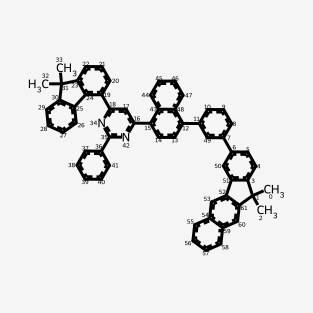 CC1(C)c2ccc(-c3cccc(-c4ccc(-c5cc(-c6cccc7c6-c6ccccc6C7(C)C)nc(-c6ccccc6)n5)c5ccccc45)c3)cc2-c2cc3ccccc3cc21